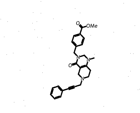 COC(=O)c1ccc(CN2CN(C)C3=C(CN(CC#Cc4ccccc4)CC3)C2=O)cc1